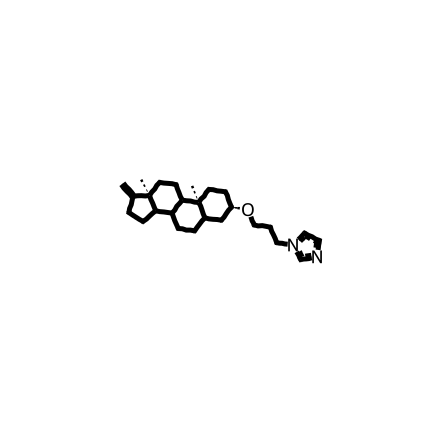 C=C1CCC2C3CCC4C[C@@H](OCCCn5ccnc5)CC[C@]4(C)C3CC[C@]12C